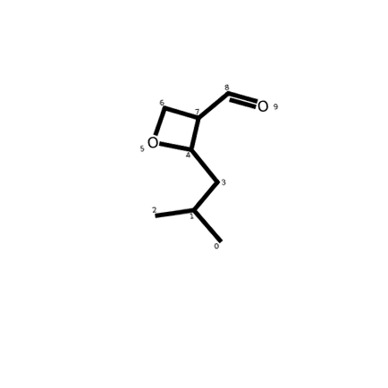 CC(C)CC1OCC1C=O